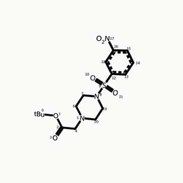 CC(C)(C)OC(=O)CN1CCN(S(=O)(=O)c2cccc([N+](=O)[O-])c2)CC1